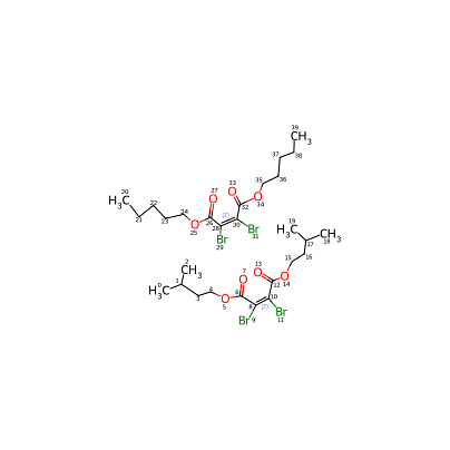 CC(C)CCOC(=O)/C(Br)=C(/Br)C(=O)OCCC(C)C.CCCCCOC(=O)/C(Br)=C(/Br)C(=O)OCCCCC